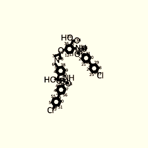 O=C(O)c1cc(CN2CC(Oc3ccc(NS(=O)(=O)c4ccc(-c5ccc(Cl)cc5)cc4)c(C(=O)O)c3)C2)ccc1NS(=O)(=O)c1ccc(-c2ccc(Cl)cc2)cc1